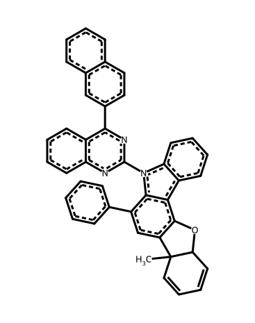 CC12C=CC=CC1Oc1c2cc(-c2ccccc2)c2c1c1ccccc1n2-c1nc(-c2ccc3ccccc3c2)c2ccccc2n1